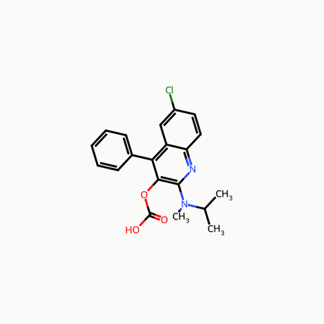 CC(C)N(C)c1nc2ccc(Cl)cc2c(-c2ccccc2)c1OC(=O)O